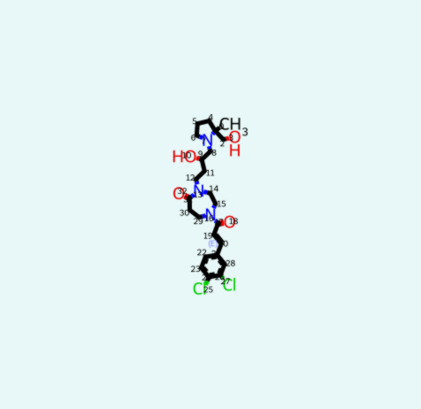 CC1(CO)CCCN1CC(O)CCN1CCN(C(=O)/C=C/c2ccc(Cl)c(Cl)c2)CCC1=O